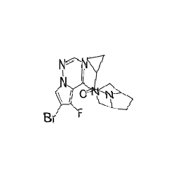 O=C(C1CC1)N1C2CCC1CN(c1ncnn3cc(Br)c(F)c13)C2